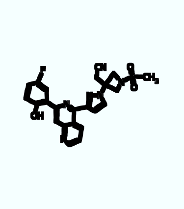 CS(=O)(=O)N1CC(CC#N)(n2ccc(-c3nc(-c4cc(F)ccc4O)cc4ncccc34)n2)C1